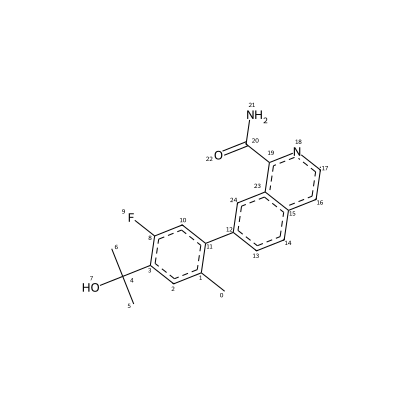 Cc1cc(C(C)(C)O)c(F)cc1-c1ccc2c[c]nc(C(N)=O)c2c1